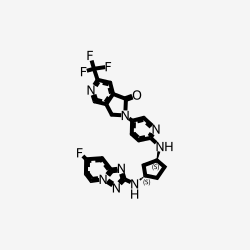 O=C1c2cc(C(F)(F)F)ncc2CN1c1ccc(N[C@H]2CC[C@H](Nc3nc4cc(F)ccn4n3)C2)nc1